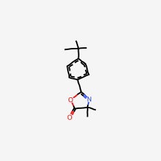 CC1(C)N=C(c2ccc(C(C)(C)C)cc2)OC1=O